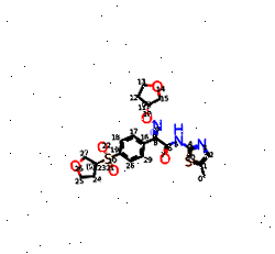 Cc1cnc(NC(=O)/C(=N/O[C@@H]2CCOC2)c2ccc(S(=O)(=O)[C@H]3CCOC3)cc2)s1